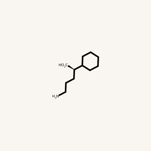 NCCC[C@@H](C(=O)O)C1CCCCC1